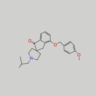 COc1ccc(COc2cccc3c2CC2(CCN(C[C](C)C)CC2)C3=O)cc1